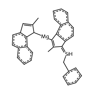 CC1=Cc2ccc3ccccc3c2[CH]1[Mg][C]1=C(C)C(=[SiH]Cc2ccccc2)c2ccc3ccccc3c21